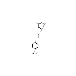 Cc1cc(C)nc(OCCOc2ccc([N+](=O)[O-])cc2)c1